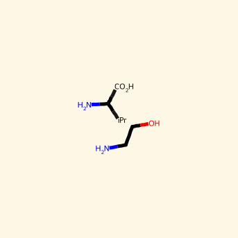 CC(C)C(N)C(=O)O.NCCO